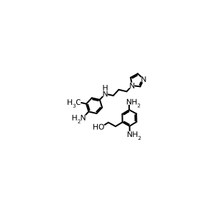 Cc1cc(NCCCn2ccnc2)ccc1N.Nc1ccc(N)c(CCO)c1